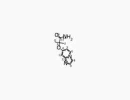 CC(C)(Oc1ccn2ccnc2c1)C(N)=O